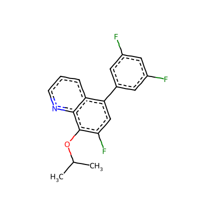 CC(C)Oc1c(F)cc(-c2cc(F)cc(F)c2)c2cccnc12